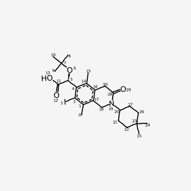 Cc1c(I)c([C@H](OC(C)(C)C)C(=O)O)c(C)c2c1CN(C1CCC(C)(C)CC1)C(=O)C2